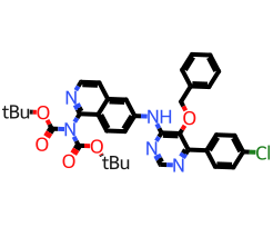 CC(C)(C)OC(=O)N(C(=O)OC(C)(C)C)c1nccc2cc(Nc3ncnc(-c4ccc(Cl)cc4)c3OCc3ccccc3)ccc12